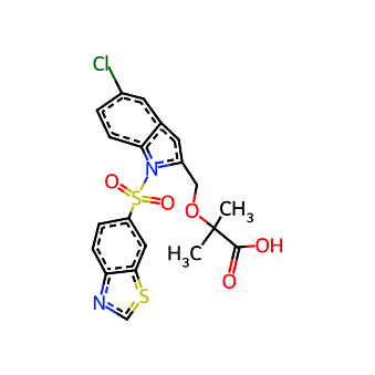 CC(C)(OCc1cc2cc(Cl)ccc2n1S(=O)(=O)c1ccc2ncsc2c1)C(=O)O